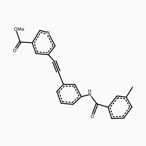 COC(=O)c1cncc(C#Cc2cccc(NC(=O)c3cccc(C)c3)c2)c1